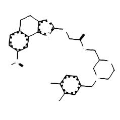 O=C(CSc1nc2c(s1)CCc1ccc([N+](=O)[O-])cc1-2)NCC1CN(Cc2ccc(Cl)c(Cl)c2)CCO1